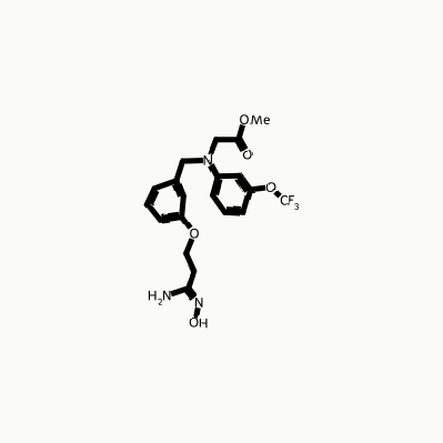 COC(=O)CN(Cc1cccc(OCC/C(N)=N/O)c1)c1cccc(OC(F)(F)F)c1